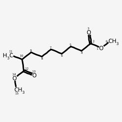 COC(=O)CCCCCCC(C)C(=O)OC